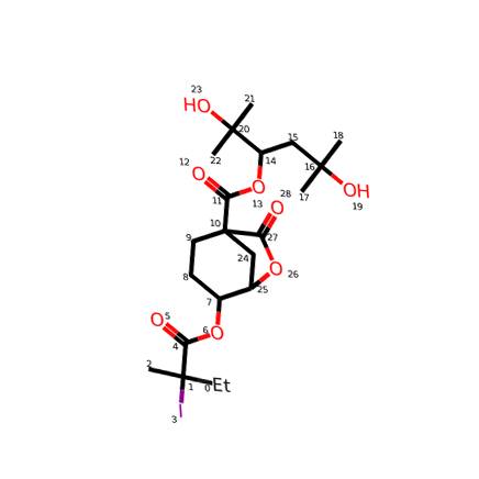 CCC(C)(I)C(=O)OC1CCC2(C(=O)OC(CC(C)(C)O)C(C)(C)O)CC1OC2=O